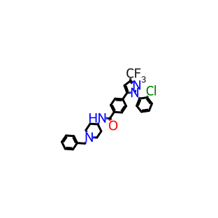 O=C(NC1CCN(Cc2ccccc2)CC1)c1ccc(-c2cc(C(F)(F)F)nn2-c2ccccc2Cl)cc1